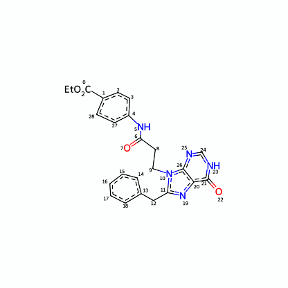 CCOC(=O)c1ccc(NC(=O)CCn2c(Cc3ccccc3)nc3c(=O)[nH]cnc32)cc1